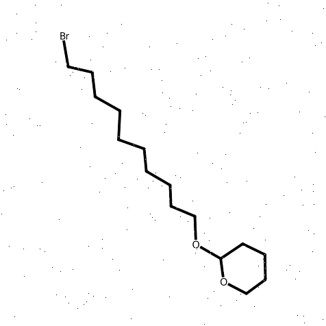 BrCCCCCCCCCCOC1CCCCO1